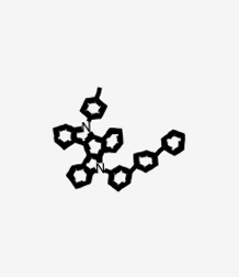 Cc1ccc(-n2c3ccccc3c3c4c5ccccc5n(-c5cccc(-c6ccc(-c7ccccc7)cc6)c5)c4c4ccccc4c32)cc1